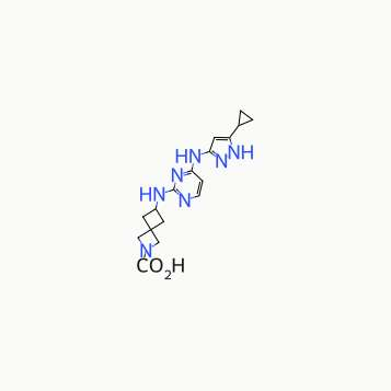 O=C(O)N1CC2(CC(Nc3nccc(Nc4cc(C5CC5)[nH]n4)n3)C2)C1